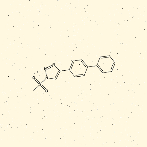 CS(=O)(=O)n1cc(-c2ccc(-c3ccccc3)cc2)nn1